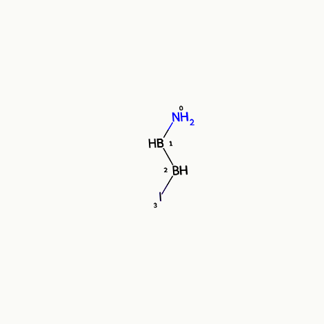 NBBI